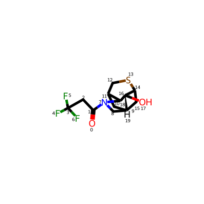 O=C(CC(F)(F)F)N1CC2CC3CSC(C2)[C@H](O)C31